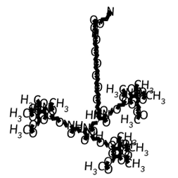 CC(=O)NC1C(OCCOCCNC(=O)CC[C@H](NC(=O)CC[C@H](NC(=O)CCOCCOCCOCCOCCOCCOCCO[PH](=O)OCCC#N)C(=O)NCCOCCOC2OC(COC(C)=O)C(OC(C)=O)C(OC(C)=O)C2NC(C)=O)C(=O)NCCOCCOC2OC(COC(C)=O)C(OC(C)=O)C(OC(C)=O)C2NC(C)=O)OC(COC(C)=O)C(OC(C)=O)C1OC(C)=O